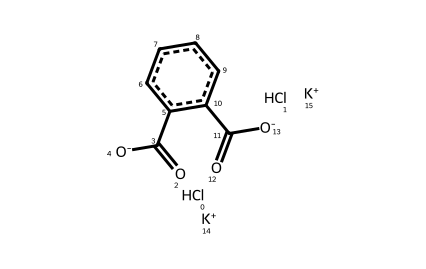 Cl.Cl.O=C([O-])c1ccccc1C(=O)[O-].[K+].[K+]